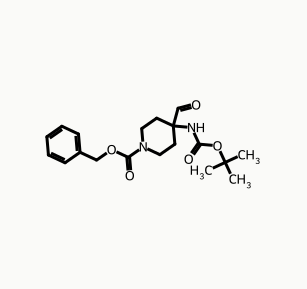 CC(C)(C)OC(=O)NC1(C=O)CCN(C(=O)OCc2ccccc2)CC1